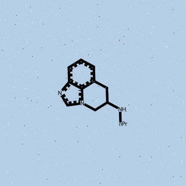 CCCNC1Cc2cccc3ncn(c23)C1